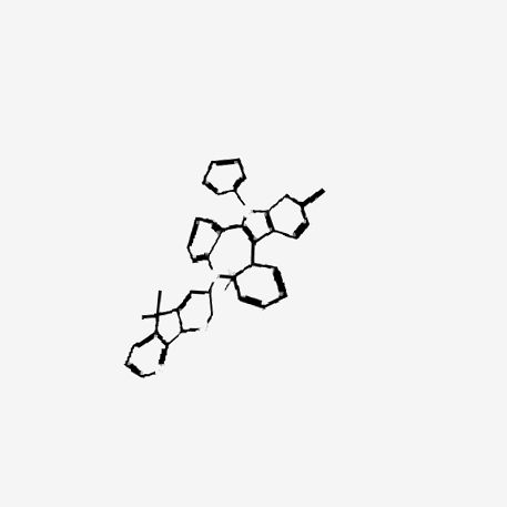 C=C1C=Cc2c3c(n(-c4ccccc4)c2C1)-c1ccccc1N(C1C=C2C(NC1)c1ncccc1C2(C)C)[C@H]1C=CC=CC31